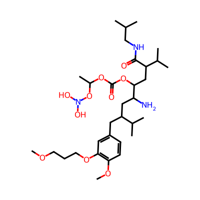 COCCCOc1cc(CC(CC(N)C(CC(C(=O)NCC(C)C)C(C)C)OC(=O)OC(C)ON(O)O)C(C)C)ccc1OC